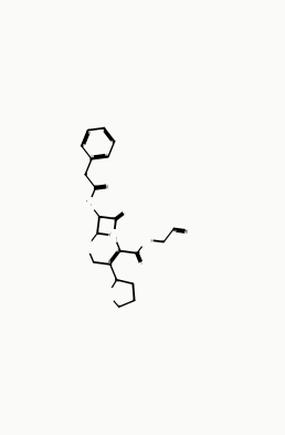 C=CCOC(=O)C1=C(C2CCCO2)CSC2C(NC(=O)Cc3ccccc3)C(=O)N12